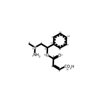 CN(N)CC(OC(=O)/C=C\C(=O)O)c1ccccc1